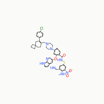 CNc1c(C=N)cc(SNC(=O)c2ccc(N3CCN(CC4=C(c5ccc(Cl)cc5)CC5(CCC5)CC4)CC3)cc2Oc2cnc3[nH]ccc3c2)cc1[N+](=O)[O-]